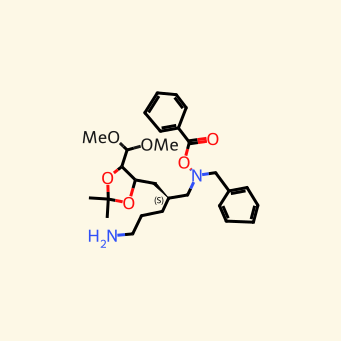 COC(OC)C1OC(C)(C)OC1C[C@H](CCCN)CN(Cc1ccccc1)OC(=O)c1ccccc1